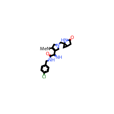 CNC1=C(C(=N)C(=O)NCc2ccc(Cl)cc2)CN(CC23CC2CC(=O)N3)C1